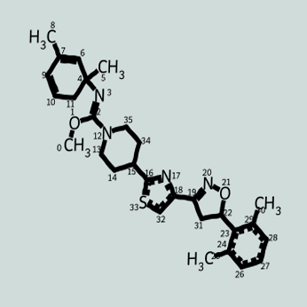 COC(=NC1(C)C=C(C)C=CC1)N1CCC(c2nc(C3=NOC(c4c(C)cccc4C)C3)cs2)CC1